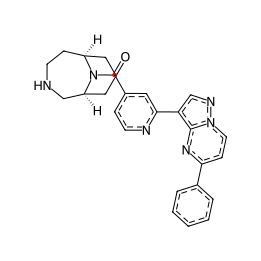 O=C(c1ccnc(-c2cnn3ccc(-c4ccccc4)nc23)c1)N1[C@@H]2CCC[C@H]1CNCC2